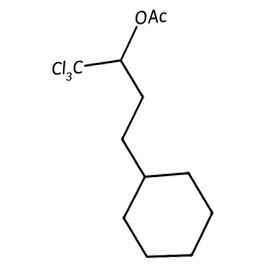 CC(=O)OC(CCC1CCCCC1)C(Cl)(Cl)Cl